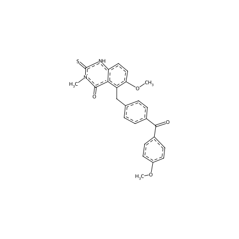 COc1ccc(C(=O)c2ccc(Cc3c(OC)ccc4[nH]c(=S)n(C)c(=O)c34)cc2)cc1